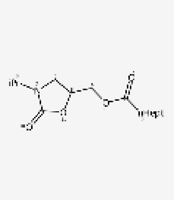 CCCCCCCC(=O)OCC1CN(C(C)C)C(=O)O1